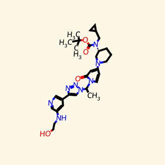 CC(n1cc(-c2cncc(NCCO)c2)nn1)n1ccc(N2CCC[C@@H](N(CC3CC3)C(=O)OC(C)(C)C)C2)cc1=O